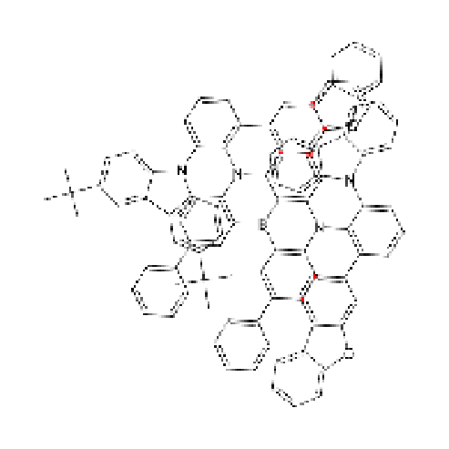 CC(C)(C)c1ccc2c(c1)c1cc(C(C)(C)C)ccc1n2-c1cccc(-c2ccc3oc4ccccc4c3c2)c1N1c2ccc(-c3ccccc3)cc2B2c3cc(-c4ccccc4)ccc3N(c3c(-c4ccc5c(c4)oc4ccccc45)cccc3-n3c4ccccc4c4ccccc43)c3cc(-c4ccccc4)cc1c32